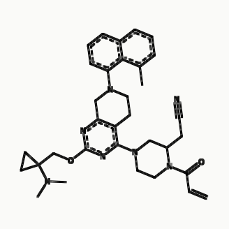 C=CC(=O)N1CCN(c2nc(OCC3(N(C)C)CC3)nc3c2CCN(c2cccc4cccc(C)c24)C3)CC1CC#N